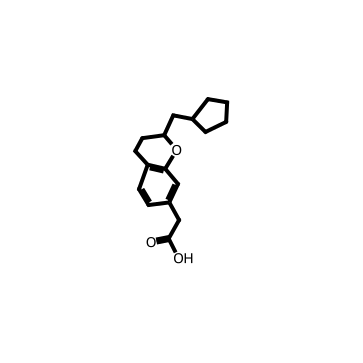 O=C(O)Cc1ccc2c(c1)OC(CC1CCCC1)CC2